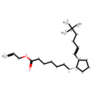 C=CCOC(=O)CCCCCC[C@H]1CCC[C@@H]1C=CCCC(C)(C)CCC